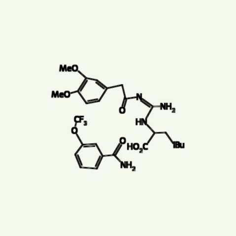 CCC(C)CC(NC(N)=NC(=O)Cc1ccc(OC)c(OC)c1)C(=O)O.NC(=O)c1cccc(OC(F)(F)F)c1